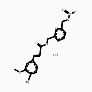 COc1cc(C=CC(=O)OCc2cccc(CO[N+](=O)[O-])n2)ccc1O.Cl